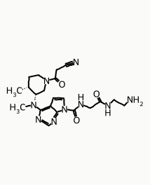 C[C@@H]1CCN(C(=O)CC#N)C[C@@H]1N(C)c1ncnc2c1ccn2C(=O)NCC(=O)NCCN